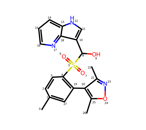 Cc1ccc(S(=O)(=O)C(O)c2c[nH]c3cccnc23)c(-c2c(C)noc2C)c1